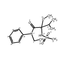 CCN(C(=O)C(NS(C)(=O)=O)(OC)C(C)C)c1ccccc1